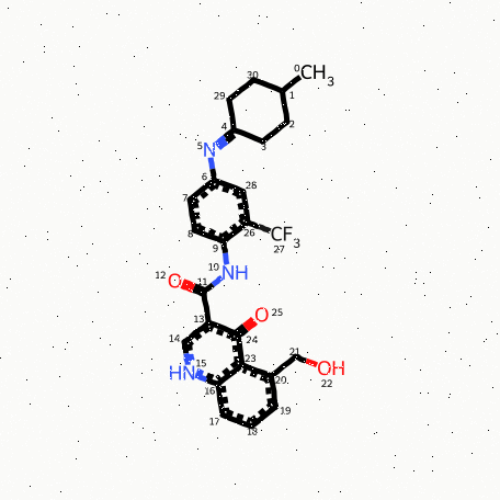 CC1CCC(=Nc2ccc(NC(=O)c3c[nH]c4cccc(CO)c4c3=O)c(C(F)(F)F)c2)CC1